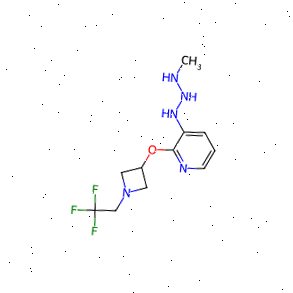 CNNNc1cccnc1OC1CN(CC(F)(F)F)C1